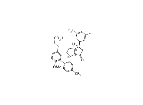 COc1ccc(CCC(=O)O)cc1-c1ccc(C(F)(F)F)cc1[C@@H]1CC[C@H]2[C@@H](C3C=C(F)C=C(C(F)(F)F)C3)SC(=O)N12